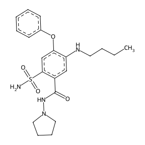 CCCCNc1cc(C(=O)NN2CCCC2)c(S(N)(=O)=O)cc1Oc1ccccc1